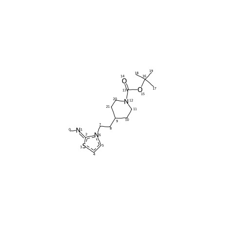 CN=c1sccn1CCC1CCN(C(=O)OC(C)(C)C)CC1